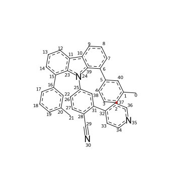 Cc1cccc(-c2cccc3c4cccc(-c5cccc(C)c5)c4n(-c4ccc(C#N)c(-c5ccncc5)c4)c23)c1